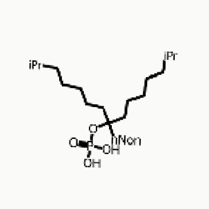 CCCCCCCCCC(CCCCCC(C)C)(CCCCCC(C)C)OP(=O)(O)O